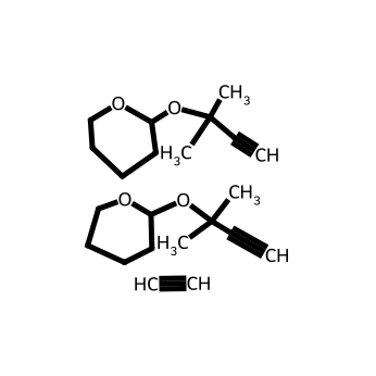 C#C.C#CC(C)(C)OC1CCCCO1.C#CC(C)(C)OC1CCCCO1